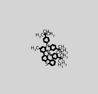 Cc1cc2c3c(c1)N(c1ccc(C(C)(C)C)cc1)c1ccc(C(C)(C)C)cc1B3N(c1ccc(C(C)(C)C)cc1)c1c-2ccc2sc3ccccc3c12